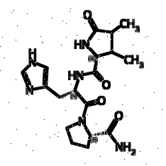 CC1C(=O)N[C@H](C(=O)N[C@@H](Cc2c[nH]cn2)C(=O)N2CCC[C@H]2C(N)=O)C1C